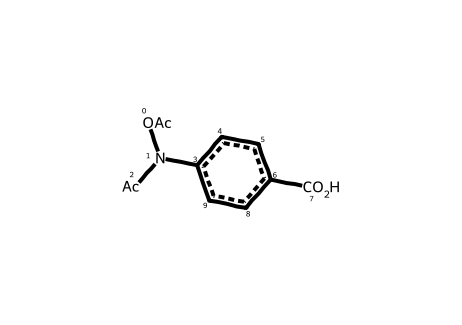 CC(=O)ON(C(C)=O)c1ccc(C(=O)O)cc1